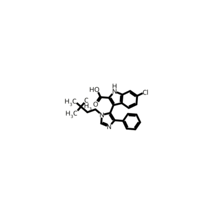 CC(C)(C)CCn1cnc(-c2ccccc2)c1-c1c(C(=O)O)[nH]c2cc(Cl)ccc12